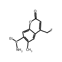 CCN(N)c1cc2oc(=O)cc(CF)c2cc1C